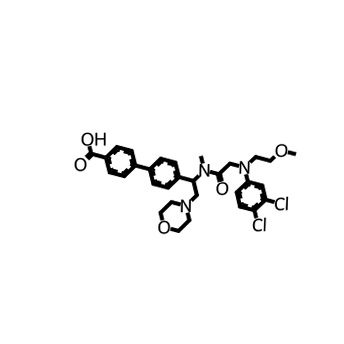 COCCN(CC(=O)N(C)C(CN1CCOCC1)c1ccc(-c2ccc(C(=O)O)cc2)cc1)c1ccc(Cl)c(Cl)c1